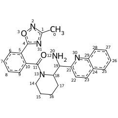 Cc1noc(-c2ccccc2C(=O)N2CCCCC2C(N)c2ccc3ccccc3n2)n1